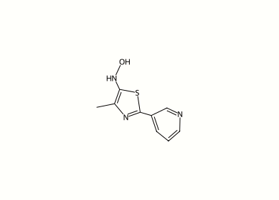 Cc1nc(-c2cccnc2)sc1NO